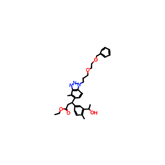 CCOC(=O)CC(c1ccc(C)c(C(C)O)c1)c1ccc2c(nnn2CCCOCCOCc2ccccc2)c1C